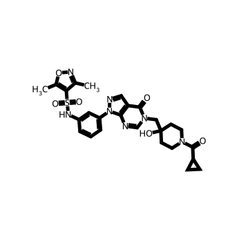 Cc1noc(C)c1S(=O)(=O)Nc1cccc(-n2ncc3c(=O)n(CC4(O)CCN(C(=O)C5CC5)CC4)cnc32)c1